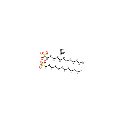 CCCCCCCCCCCCS(=O)(=O)[O-].CCCCCCCCCCCCS(=O)(=O)[O-].[K+].[Na+]